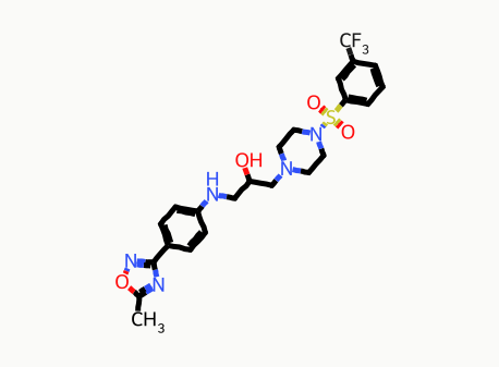 Cc1nc(-c2ccc(NCC(O)CN3CCN(S(=O)(=O)c4cccc(C(F)(F)F)c4)CC3)cc2)no1